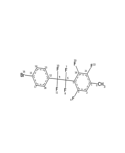 Cc1cc(F)c(C(F)(F)C(F)(F)c2ccc(Br)cc2)c(F)c1F